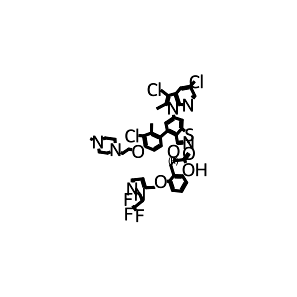 Cc1c(-c2cc(-n3c(C)c(Cl)c4cc(Cl)cnc43)cc3snc(O[C@H](Cc4ccccc4OCc4ccnn4CC(F)(F)F)C(=O)O)c23)ccc(OCCN2CCN(C)CC2)c1Cl